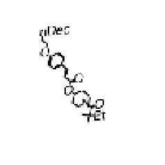 CCCCCCCCCCCCOc1ccc(/C=C/C(=O)OC2CCN(C(=O)C(C)(C)CC)CC2)cc1